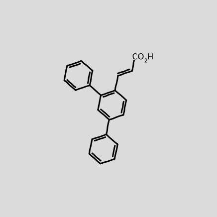 O=C(O)C=Cc1ccc(-c2ccccc2)cc1-c1ccccc1